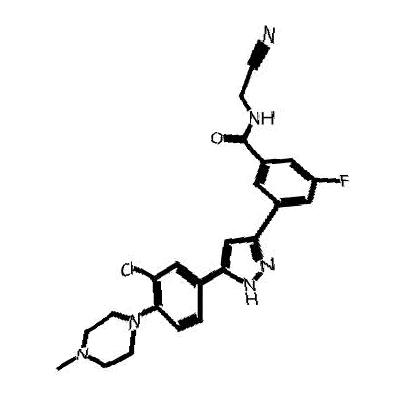 CN1CCN(c2ccc(-c3cc(-c4cc(F)cc(C(=O)NCC#N)c4)n[nH]3)cc2Cl)CC1